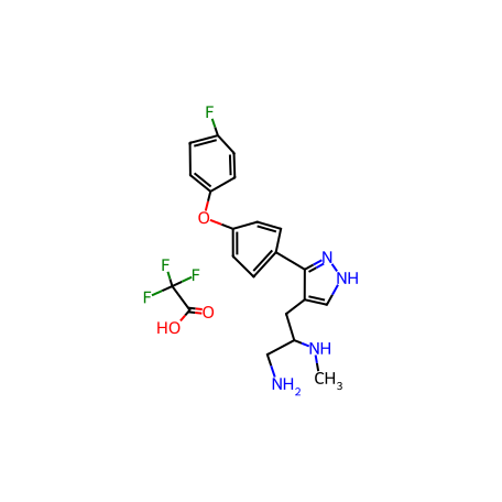 CNC(CN)Cc1c[nH]nc1-c1ccc(Oc2ccc(F)cc2)cc1.O=C(O)C(F)(F)F